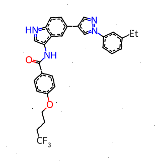 CCc1cccc(-n2cc(-c3ccc4[nH]cc(NC(=O)c5ccc(OCCCC(F)(F)F)cc5)c4c3)cn2)c1